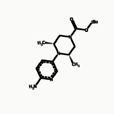 C[C@@H]1CN(C(=O)OC(C)(C)C)C[C@H](C)N1c1ccc(N)nc1